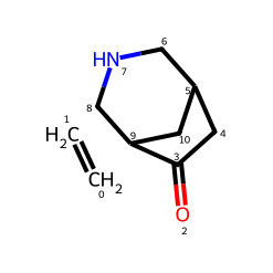 C=C.O=C1CC2CNCC1C2